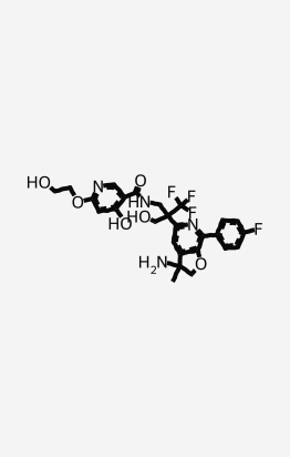 CC1(N)COc2c1cc(C(CO)(CNC(=O)c1cnc(OCCO)cc1O)C(F)(F)F)nc2-c1ccc(F)cc1